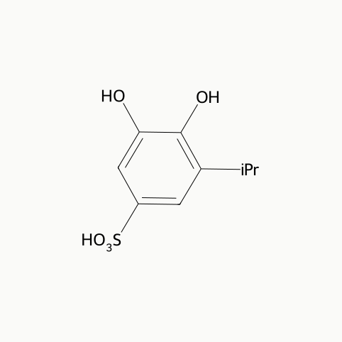 CC(C)c1cc(S(=O)(=O)O)cc(O)c1O